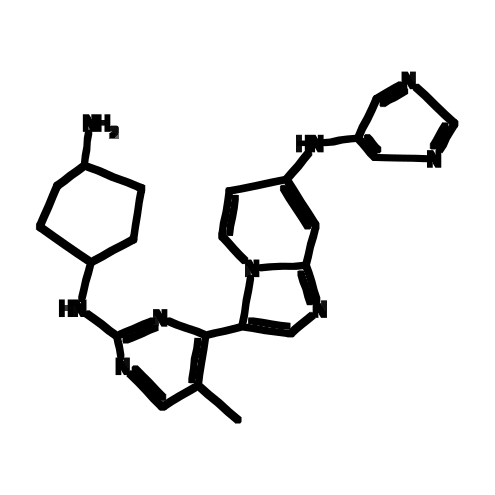 Cc1cnc(NC2CCC(N)CC2)nc1-c1cnc2cc(Nc3cncnc3)ccn12